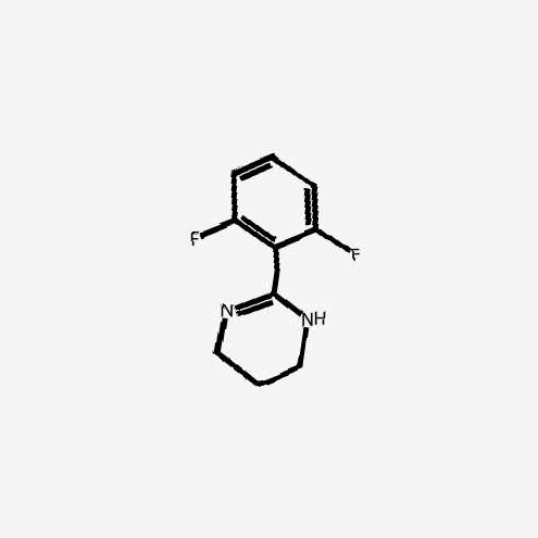 Fc1cccc(F)c1C1=NCCCN1